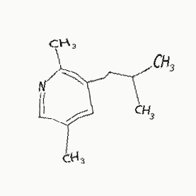 Cc1cnc(C)c(CC(C)C)c1